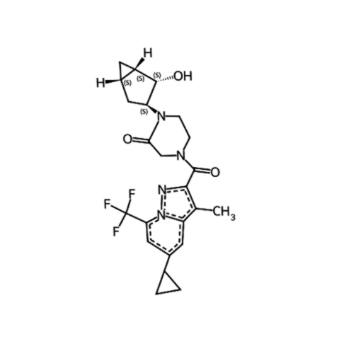 Cc1c(C(=O)N2CCN([C@H]3C[C@@H]4C[C@@H]4[C@@H]3O)C(=O)C2)nn2c(C(F)(F)F)cc(C3CC3)cc12